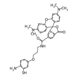 CN(C)c1ccc2c(c1)Oc1cc(N(C)C)ccc1C21OC(=O)c2ccc(C(=O)NCCCOc3ccc(N)c(S)c3)cc21